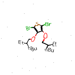 CCCCC(CC)COc1c(Br)sc(Br)c1OCC(CC)CCCC